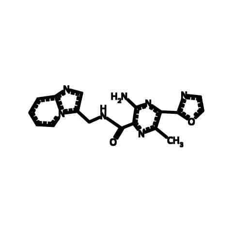 Cc1nc(C(=O)NCc2cnc3ccccn23)c(N)nc1-c1ncco1